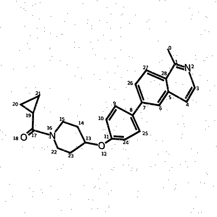 Cc1nccc2cc(-c3ccc(OC4CCN(C(=O)C5CC5)CC4)cc3)ccc12